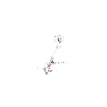 O=C(O)CCOCCOCCNc1nc(Nc2ccc(CC3CN(CC(=O)O)CCN(CC(=O)O)CCN(CC(=O)O)CCN3CC(=O)O)cc2)nc(N2CCN(CCCCCCCCCCC(=O)NCCCCC(NC(=O)N[C@@H](CCC(=O)O)C(=O)O)C(=O)O)CC2)n1